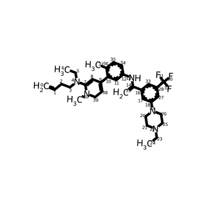 C=CCCN(CC)C1=CC(c2cc(NC(=C)c3cc(N4CCN(CC)CC4)cc(C(F)(F)F)c3)ccc2C)=CCN1C